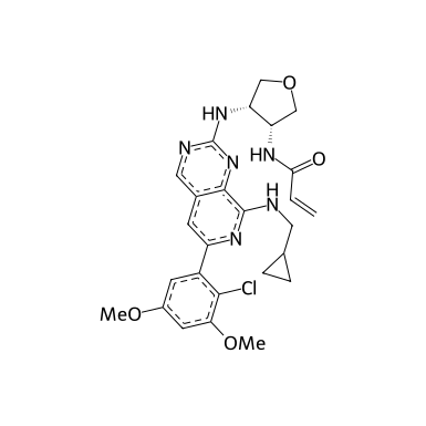 C=CC(=O)N[C@H]1COC[C@H]1Nc1ncc2cc(-c3cc(OC)cc(OC)c3Cl)nc(NCC3CC3)c2n1